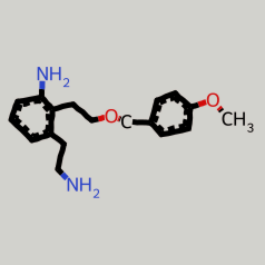 COc1ccc(COCCc2c(N)cccc2CCN)cc1